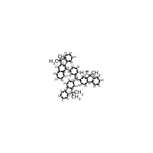 CC1(C)c2ccccc2-c2ccc(N(c3cccc(-c4c5c(cc6ccccc46)C(C)(C)c4ccccc4-5)c3)c3ccc4c(c3)C(C)(C)c3ccccc3-4)cc21